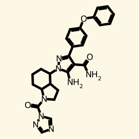 NC(=O)c1c(-c2ccc(Oc3ccccc3)cc2)nn(C2CCCC3C2CCN3C(=O)n2cncn2)c1N